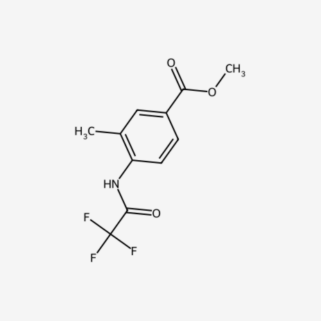 COC(=O)c1ccc(NC(=O)C(F)(F)F)c(C)c1